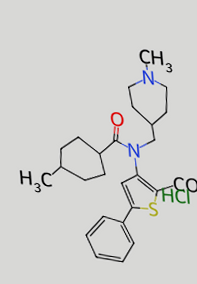 CC1CCC(C(=O)N(CC2CCN(C)CC2)c2cc(-c3ccccc3)sc2C(=O)O)CC1.Cl